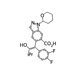 CC(C)C(O)=C(c1ccc(F)c(F)c1)c1cc2cnn(C3CCCCO3)c2cc1C(=O)O